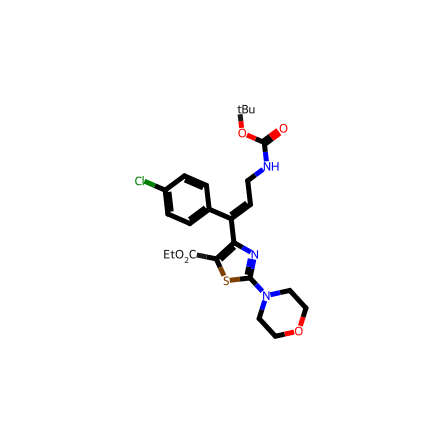 CCOC(=O)c1sc(N2CCOCC2)nc1C(=CCNC(=O)OC(C)(C)C)c1ccc(Cl)cc1